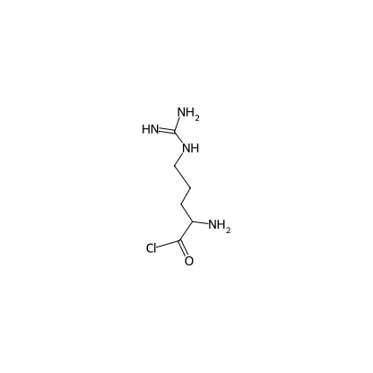 N=C(N)NCCCC(N)C(=O)Cl